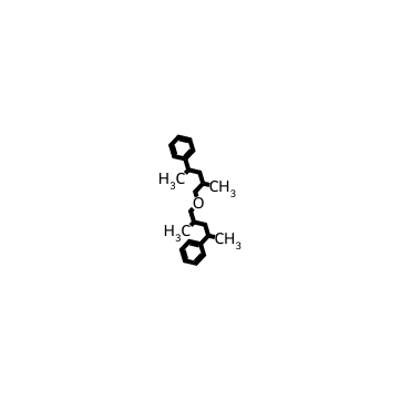 CC(COCC(C)CC(C)c1ccccc1)CC(C)c1ccccc1